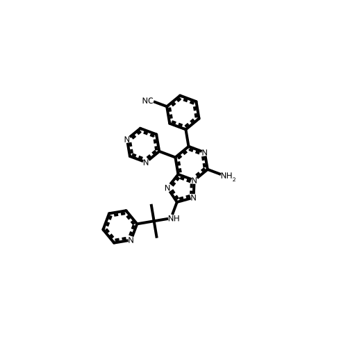 CC(C)(Nc1nc2c(-c3ccncn3)c(-c3cccc(C#N)c3)nc(N)n2n1)c1ccccn1